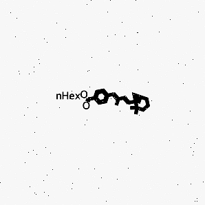 CCCCCCOC(=O)c1ccc(/C=C(\C)C=CC23CC2(C)CCCC3(C)C)cc1